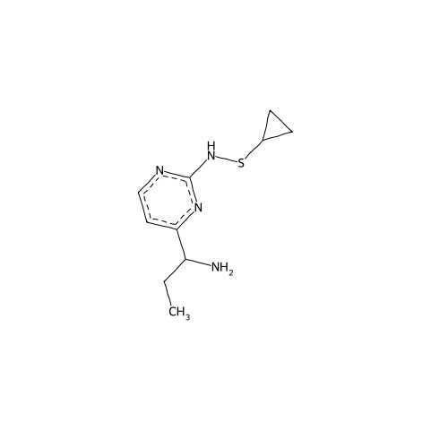 CCC(N)c1ccnc(NSC2CC2)n1